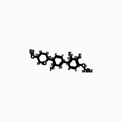 CCCCOc1ccc(-c2ccc(C3CCC(OCC)CO3)c(F)c2)c(F)c1F